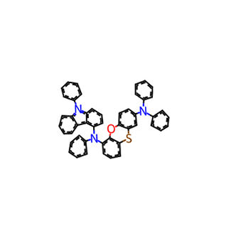 c1ccc(N(c2ccccc2)c2ccc3c(c2)Sc2cccc(N(c4ccccc4)c4cccc5c4c4ccccc4n5-c4ccccc4)c2O3)cc1